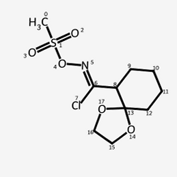 CS(=O)(=O)ON=C(Cl)C1CCCCC12OCCO2